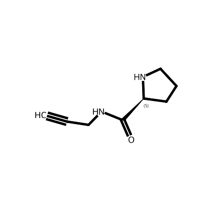 C#CCNC(=O)[C@@H]1CCCN1